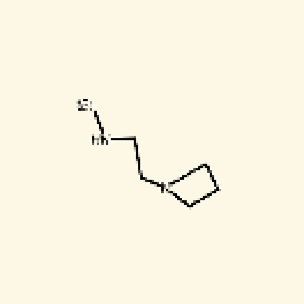 CC(C)(C)NCCN1CCC1